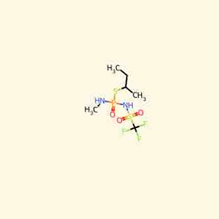 CCC(C)SP(=O)(NC)NS(=O)(=O)C(F)(F)F